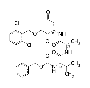 CC(C)[C@H](NC(=O)OCc1ccccc1)C(=O)N[C@@H](C)C(=O)N[C@@H](CC=O)C(=O)COCc1c(Cl)cccc1Cl